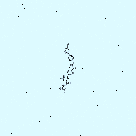 C#Cc1cnn(-c2ccc(CNC(=O)c3ccc(-c4nc(C)cc(Nc5cc(C)[nH]n5)n4)cn3)cn2)c1